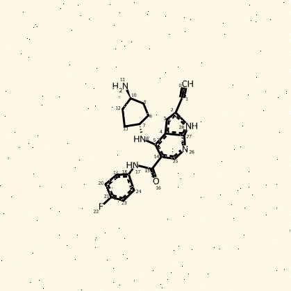 C#Cc1cc2c(N[C@H]3CC[C@H](N)CC3)c(C(=O)Nc3ccc(F)cc3)cnc2[nH]1